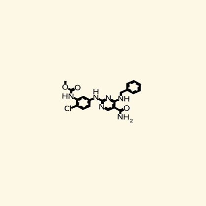 COC(=O)Nc1cc(Nc2ncc(C(N)=O)c(NCc3ccccc3)n2)ccc1Cl